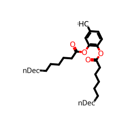 [CH]c1ccc(OC(=O)CCCCCCCCCCCCCCC)c(OC(=O)CCCCCCCCCCCCCCC)c1